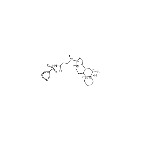 CC[C@H]1CC2C3CC[C@H]([C@H](C)CCC(=O)NS(=O)(=O)c4cccnc4)[C@@]3(C)CCC2[C@@]2(C)CCCC[C@@H]12